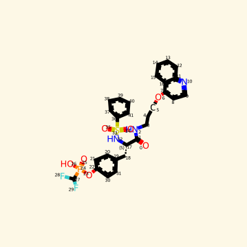 O=C(NCCCOc1ccnc2ccccc12)[C@H](Cc1ccc(OP(=O)(O)C(F)F)cc1)NS(=O)(=O)c1ccccc1